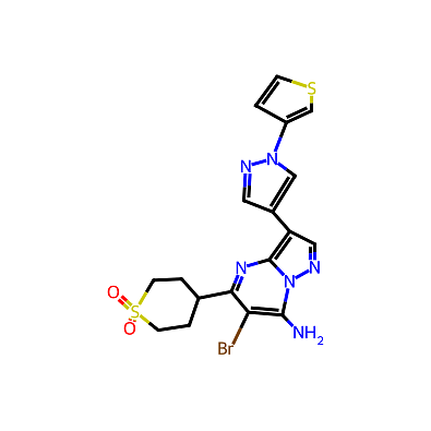 Nc1c(Br)c(C2CCS(=O)(=O)CC2)nc2c(-c3cnn(-c4ccsc4)c3)cnn12